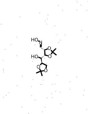 CC1(C)O[C@@H](/C=N/O)[C@@H](C(O)[C@H]2COC(C)(C)O2)O1